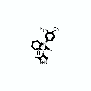 Cc1n[nH]cc1N1C(=O)N(c2ccc(C#N)c(C(F)(F)F)c2)[C@H]2CCCC[C@@H]21